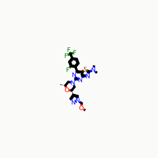 COCn1cc([C@H]2CN(c3nc(-c4ccc(C(F)(F)F)cc4F)c4sc(N(C)C)nc4n3)C[C@@H](C)O2)cn1